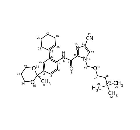 CC1(c2ccc(NC(=O)c3nc(C#N)cn3COCC[Si](C)(C)C)c(C3=CCCCC3)c2)OCCCO1